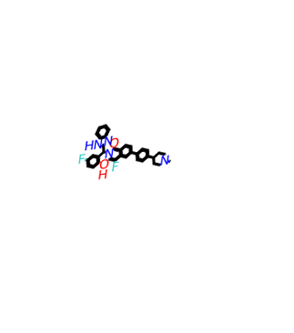 CN1CCC(c2ccc(-c3ccc4c(=O)n(C(c5nc6ccccc6[nH]5)c5cc(F)ccc5O)cc(F)c4c3)cc2)CC1